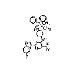 CC(C)(C)[Si](OC1CCC(Nc2nc(-c3cnc4ccc(F)cn34)ncc2[N+](=O)[O-])CC1)(c1ccccc1)c1ccccc1